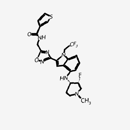 CN1CC[C@H](Nc2cccc3c2cc(-c2noc(CNC(=O)c4ccsc4)n2)n3CC(F)(F)F)[C@H](F)C1